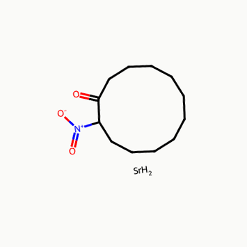 O=C1CCCCCCCCCCC1[N+](=O)[O-].[SrH2]